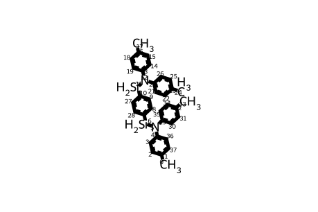 Cc1ccc(N([SiH2]c2ccc([SiH2]N(c3ccc(C)cc3)c3ccc(C)cc3)cc2)c2ccc(C)cc2)cc1